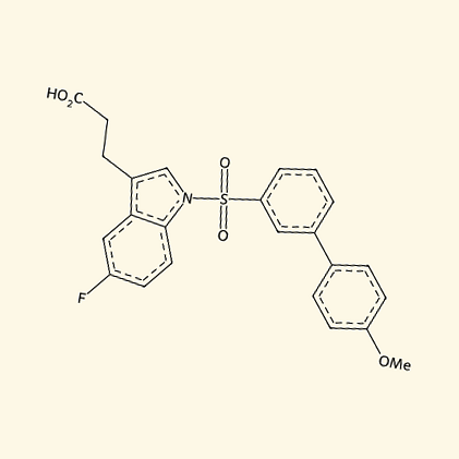 COc1ccc(-c2cccc(S(=O)(=O)n3cc(CCC(=O)O)c4cc(F)ccc43)c2)cc1